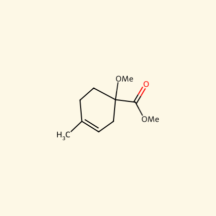 COC(=O)C1(OC)CC=C(C)CC1